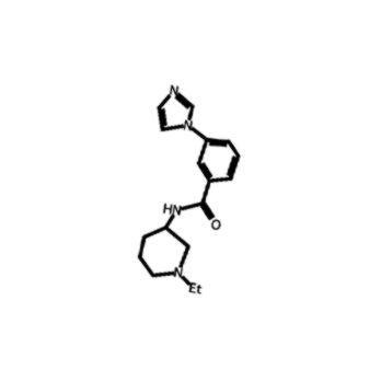 CCN1CCCC(NC(=O)c2cccc(-n3ccnc3)c2)C1